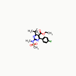 CCOC(=O)c1c(-c2ccc(F)cc2)nc(N(C)S(C)(=O)=O)nc1C(C)C